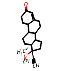 C#C[C@]1(OCCC)CCC2C3CCC4=CC(=O)CCC4C3CC[C@@]21C